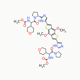 COC(=O)NC(C(=O)N1CCC[C@H]1c1ncc(-c2cc3c(OC)c4sc(-c5cnc([C@@H]6CCCN6C(=O)[C@@H](NC(=O)OC)C6CCOCC6)[nH]5)cc4c(OC)c3s2)[nH]1)C1CCOCC1